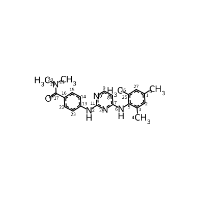 Cc1cc(C)c(Nc2ccnc(Nc3ccc(C(=O)N(C)C)cc3)n2)c(C)c1